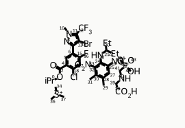 CC(C)OC(=O)c1cc(-c2nn(C)c(C(F)(F)F)c2Br)c(F)cc1Cl.CCC(CC)Nc1c([N+](=O)[O-])cc(C)c(C)c1[N+](=O)[O-].C[S+](C)C.O=C(O)CNCP(=O)([O-])O